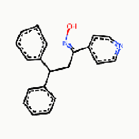 ON=C(CC(c1ccccc1)c1ccccc1)c1ccncc1